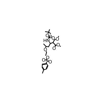 COC(=O)C(C(=O)OC)C(CC(C)OCCOS(=O)(=O)c1ccc(C)cc1)NC(=O)OC(C)(C)C